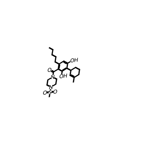 CCCCCc1cc(O)c(C2C=C(C)CCC2)c(O)c1C(=O)N1CCN(S(C)(=O)=O)CC1